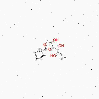 CC(C)C[C@H](O)[C@@H](O)[C@@H]1OC(c2ccccc2)OCC1O